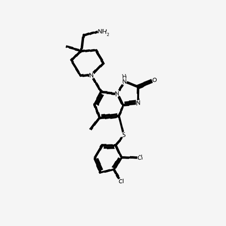 Cc1cc(N2CCC(C)(CN)CC2)n2[nH]c(=O)nc2c1Sc1cccc(Cl)c1Cl